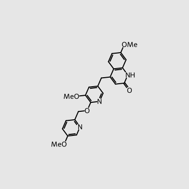 COc1ccc(COc2ncc(Cc3cc(=O)[nH]c4cc(OC)ccc34)cc2OC)nc1